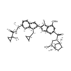 COc1cc(C(=O)N2C[C@H](N)[C@@H]3CC[C@H]2C3)cc2nc(-c3cc4ccc([C@@H](C)NC(=O)C5(C(F)(F)F)CC5)nc4n3CC3CC3)n(C)c12